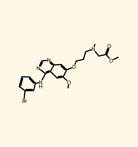 COC(=O)CN(C)CCCOc1cc2ncnc(Nc3cccc(Br)c3)c2cc1OC